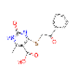 Cc1[nH]c(=O)nc(SCC(=O)c2ccccc2)c1C(=O)O